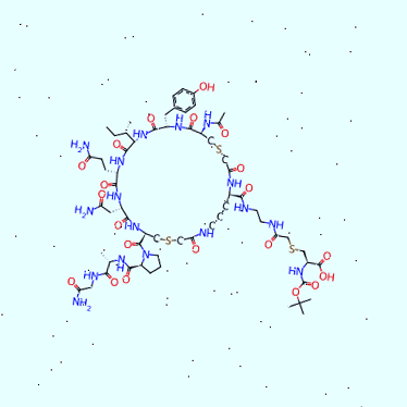 CC[C@H](C)[C@@H]1NC(=O)[C@H](Cc2ccc(O)cc2)NC(=O)[C@@H](NC(C)=O)CSCC(=O)N[C@@H](C(=O)NCCNC(=O)CSC[C@H](NC(=O)OC(C)(C)C)C(=O)O)CCCNC(=O)CSC[C@@H](C(=O)N2CCC[C@H]2C(=O)N[C@@H](C)C(=O)NCC(N)=O)NC(=O)[C@H](CC(N)=O)NC(=O)[C@H](CCC(N)=O)NC1=O